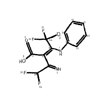 N=C(/C(C(=O)O)=C(\Nc1ccccc1)C(F)(F)Cl)C(F)F